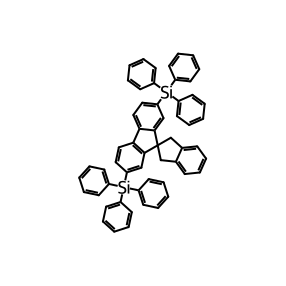 c1ccc([Si](c2ccccc2)(c2ccccc2)c2ccc3c(c2)C2(Cc4ccccc4C2)c2cc([Si](c4ccccc4)(c4ccccc4)c4ccccc4)ccc2-3)cc1